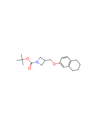 CC(C)(C)OC(=O)N1CC(COc2ccc3c(c2)CCCC3)C1